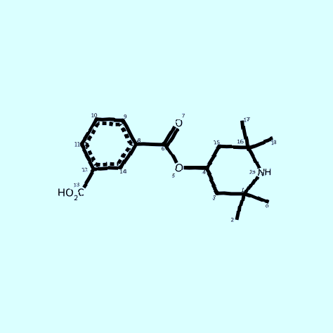 CC1(C)CC(OC(=O)c2cccc(C(=O)O)c2)CC(C)(C)N1